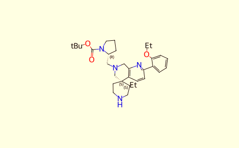 CCOc1ccccc1-c1ccc2c(n1)CN(C[C@H]1CCCN1C(=O)OC(C)(C)C)C[C@]21CCNC[C@H]1CC